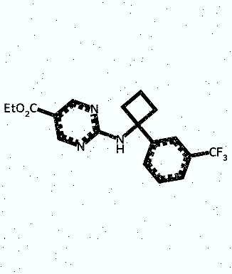 CCOC(=O)c1cnc(NC2(c3cccc(C(F)(F)F)c3)CCC2)nc1